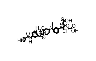 CC1(C)C[C@@H](Nc2cccc(-c3sc(C(=O)O)c(OCC(=O)O)c3Cl)c2)CCN1S(=O)(=O)Cc1cccc(NC(=O)C2CNC2)c1